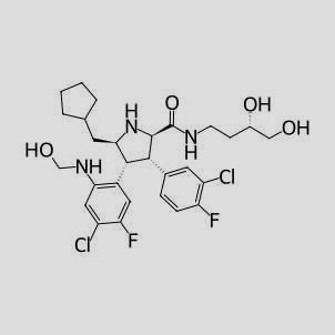 O=C(NCC[C@H](O)CO)[C@@H]1N[C@H](CC2CCCC2)[C@@H](c2cc(F)c(Cl)cc2NCO)[C@H]1c1ccc(F)c(Cl)c1